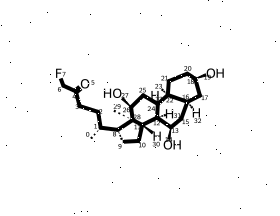 C[C@H](CCC(=O)CF)[C@H]1CC[C@H]2[C@@H]3[C@H](O)C[C@@H]4C[C@H](O)CC[C@]4(C)[C@H]3C[C@H](O)[C@]12C